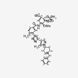 COc1c(NC(=O)c2ccc(C)c(-n3cc(-c4cnn(C5CCN(Cc6ccccc6)CC5)c4C)nn3)c2)cc(C(C)(C)C)cc1NS(C)(=O)=O